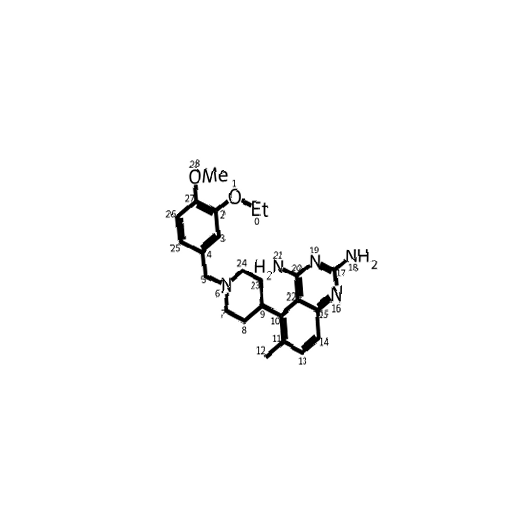 CCOc1cc(CN2CCC(c3c(C)ccc4nc(N)nc(N)c34)CC2)ccc1OC